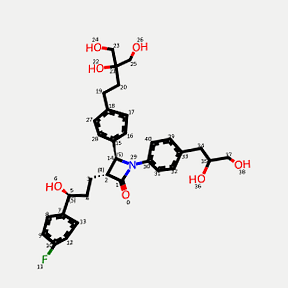 O=C1[C@H](CC[C@H](O)c2ccc(F)cc2)[C@@H](c2ccc(CCC(O)(CO)CO)cc2)N1c1ccc(CC(O)CO)cc1